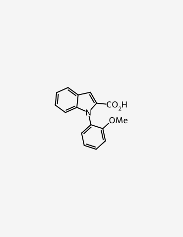 COc1ccccc1-n1c(C(=O)O)cc2ccccc21